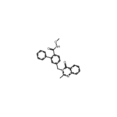 CONC(=O)c1ccc(Cn2c(C)nc3ccccc3c2=O)cc1-c1ccccc1